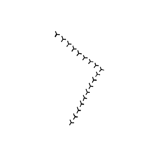 CC(C)C.CC(C)C.CC(C)C.CC(C)C.CC(C)C.CC(C)C.CC(C)C.CC(C)C.CC(C)C.CC(C)C.CC(C)C.CC(C)C.CC(C)C.CC(C)C.CC(C)C.CC(C)C.CC(C)C.CC(C)C